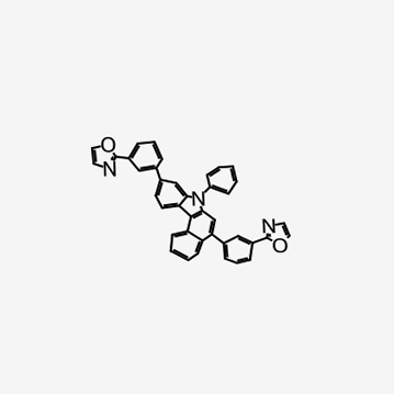 c1ccc(-n2c3cc(-c4cccc(-c5ncco5)c4)ccc3c3c4ccccc4c(-c4cccc(-c5ncco5)c4)cc32)cc1